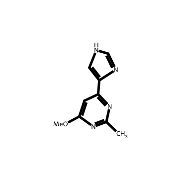 COc1cc(-c2c[nH]cn2)nc(C)n1